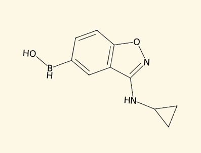 OBc1ccc2onc(NC3CC3)c2c1